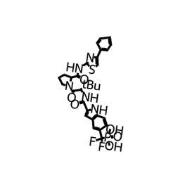 CC(C)(C)C(NC(=O)c1cc2cc(C(F)(F)P(=O)(O)O)ccc2[nH]1)C(=O)N1CCCC1C(=O)Nc1nc(-c2ccccc2)cs1